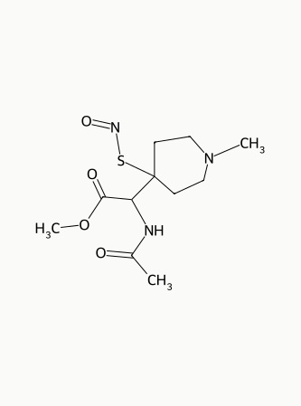 COC(=O)C(NC(C)=O)C1(SN=O)CCN(C)CC1